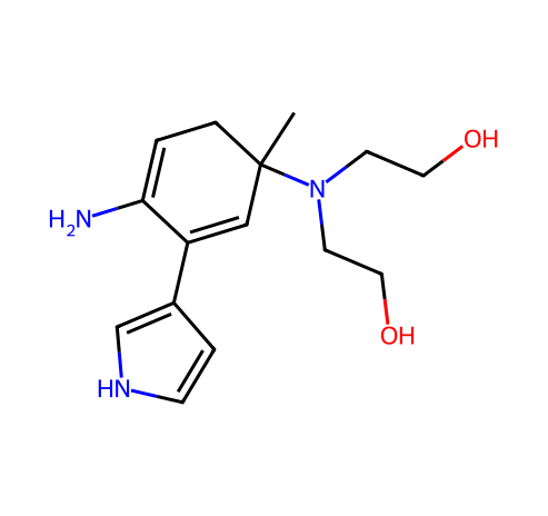 CC1(N(CCO)CCO)C=C(c2cc[nH]c2)C(N)=CC1